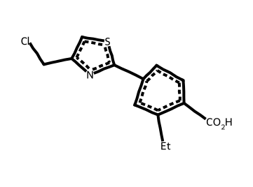 CCc1cc(-c2nc(CCl)cs2)ccc1C(=O)O